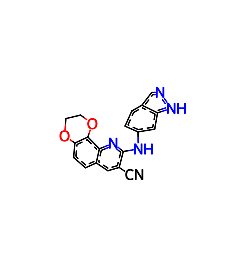 N#Cc1cc2ccc3c(c2nc1Nc1ccc2cn[nH]c2c1)OCCO3